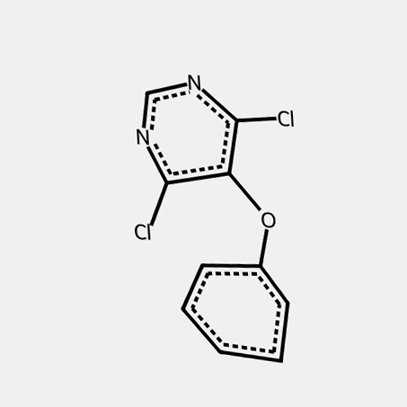 Clc1ncnc(Cl)c1Oc1ccccc1